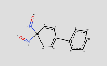 O=NC1(N=O)C=CC(c2ccccc2)=CC1